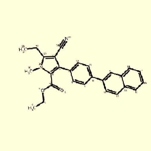 CCOC(=O)c1c(-c2ccc(-c3ccc4ccccc4c3)cc2)c(C#N)c(CC)n1C